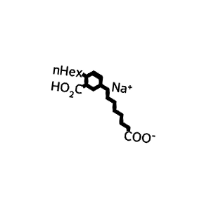 CCCCCCC1C=CC(CCCCCCCC(=O)[O-])CC1C(=O)O.[Na+]